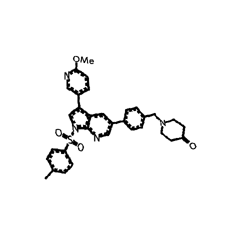 COc1ccc(-c2cn(S(=O)(=O)c3ccc(C)cc3)c3ncc(-c4ccc(CN5CCC(=O)CC5)cc4)cc23)cn1